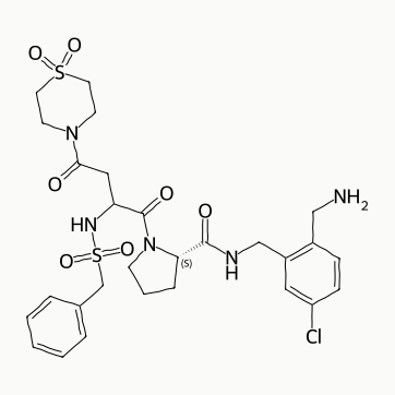 NCc1ccc(Cl)cc1CNC(=O)[C@@H]1CCCN1C(=O)C(CC(=O)N1CCS(=O)(=O)CC1)NS(=O)(=O)Cc1ccccc1